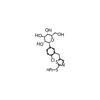 CCCSc1ncc(Cc2cc([C@@H]3O[C@H](CO)[C@@H](O)[C@H](O)[C@H]3O)ccc2Cl)s1